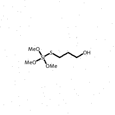 CO[Si](OC)(OC)SCCCO